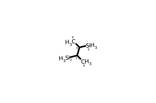 CC([SiH3])C(C)[SiH3]